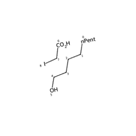 CCCCCCCCCO.O=C(O)CI